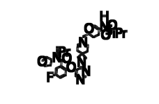 CC(C)N(C(=O)c1cc(F)ccc1Oc1cncnc1N1CC2(CCN(C[C@@H]3CCC(NS(=O)(=O)C(C)C)=CO3)CC2)C1)[C@@H]1CCOC1